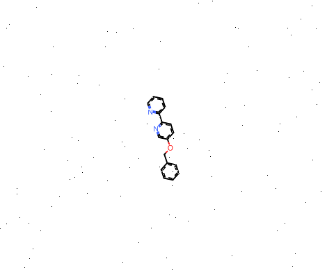 c1ccc(COc2ccc(-c3ccccn3)nc2)cc1